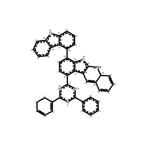 C1=CCCC(c2nc(-c3ccccc3)nc(-c3ccc(-c4cccc5oc6ccccc6c45)c4oc5c(c34)C=C3C=CC=CC3N5)n2)=C1